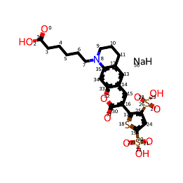 O=C(O)CCCCCN1CCCc2cc3cc(-c4sc(S(=O)(=O)O)cc4S(=O)(=O)O)c(=O)oc3cc21.[NaH]